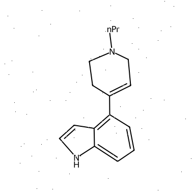 CCCN1CC=C(c2cccc3[nH]ccc23)CC1